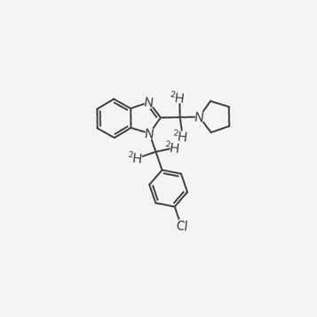 [2H]C([2H])(c1nc2ccccc2n1C([2H])([2H])c1ccc(Cl)cc1)N1CCCC1